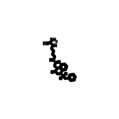 N=C(N)NCCCCNC(=O)CN1C(=O)CN(S(=O)(=O)Cc2ccccc2)c2ccccc21